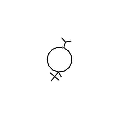 CC(C)N1CCCCCCC(C)(C(C)(C)C)CCCCC1